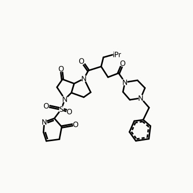 CC(C)CC(CC(=O)N1CCN(Cc2ccccc2)CC1)C(=O)N1CCC2C1C(=O)CN2S(=O)(=O)C1=NC=CCC1=O